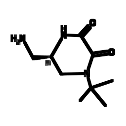 CC(C)(C)N1C[C@@H](CN)NC(=O)C1=O